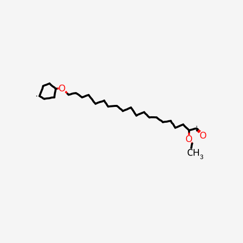 CCOC([C]=O)CCCCCCCCCCCCCCCCCCOC1CC[CH]CC1